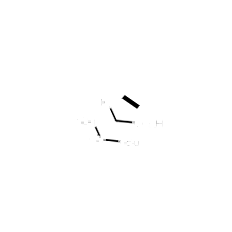 C=C.CCC[CH2][Sn][CH2]CCC.O=C(O)CO